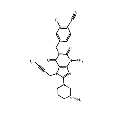 CC#CCn1c(N2CCC[C@@H](N)C2)nc2c1c(=O)n(Cc1ccc(C#N)c(F)c1)c(=O)n2C